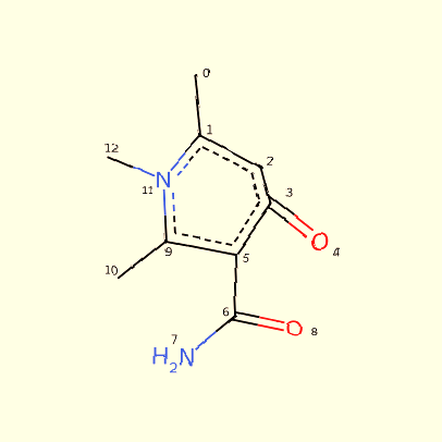 Cc1cc(=O)c(C(N)=O)c(C)n1C